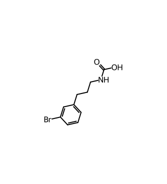 O=C(O)NCCCc1cccc(Br)c1